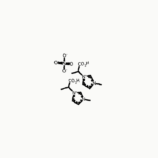 CC(C(=O)O)[n+]1ccn(C)c1.CC(C(=O)O)[n+]1ccn(C)c1.O=S(=O)([O-])[O-]